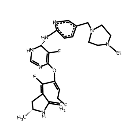 C=C1N[C@H](C)C/C1=C(F)/C(=C\CF)OC1=C(F)[C@@H](Nc2ccc(CN3CCN(CC)CC3)cn2)NC=N1